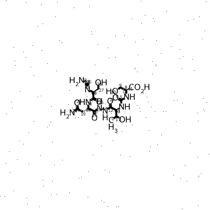 CC(O)[C@H](NC(=O)N[C@@H](CO)C(=O)O)C(=O)NNC(=O)[C@H](CC(N)=O)NC(=O)[C@H](CO)N=NN